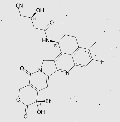 CC[C@@]1(O)C(=O)OCc2c1cc1n(c2=O)Cc2c-1nc1cc(F)c(C)c3c1c2[C@@H](NC(=O)C[C@H](O)CC#N)CC3